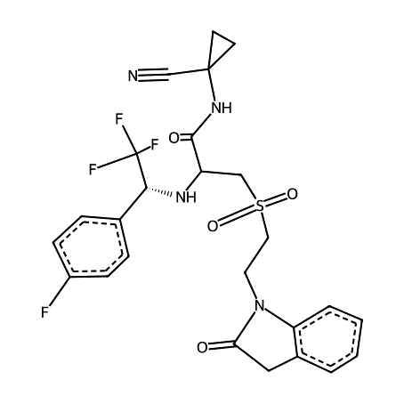 N#CC1(NC(=O)C(CS(=O)(=O)CCN2C(=O)Cc3ccccc32)N[C@H](c2ccc(F)cc2)C(F)(F)F)CC1